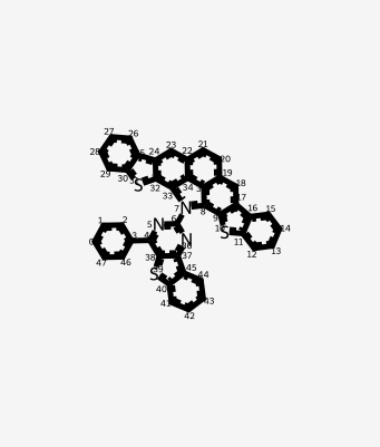 c1ccc(-c2nc(-n3c4c5sc6ccccc6c5cc5ccc6cc7c8ccccc8sc7c3c6c54)nc3c2sc2ccccc23)cc1